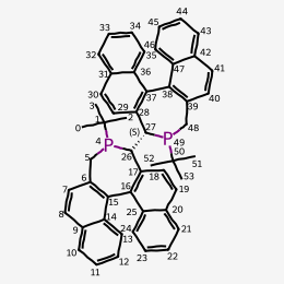 CC(C)(C)P1Cc2ccc3ccccc3c2-c2c(ccc3ccccc23)C1[C@@H]1c2ccc3ccccc3c2-c2c(ccc3ccccc23)CP1C(C)(C)C